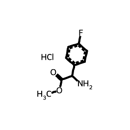 COC(=O)C(N)c1ccc(F)cc1.Cl